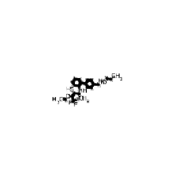 C=C(Nc1ccccc1-c1ccc(/C=N/OCCC)cc1)/C(S)=C(/OCC)C(F)(F)F